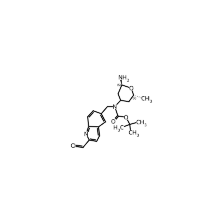 C[C@@H]1CC(N(Cc2ccc3nc(C=O)ccc3c2)C(=O)OC(C)(C)C)C[C@@H](N)O1